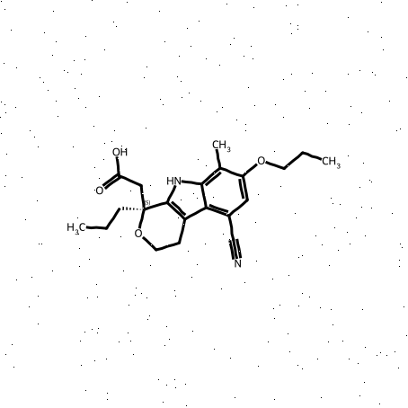 CCCOc1cc(C#N)c2c3c([nH]c2c1C)[C@](CCC)(CC(=O)O)OCC3